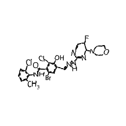 Cc1cccc(Cl)c1NC(=O)c1c(Br)cc(/C=N/NC2=NC(N3CCOCC3)C(F)C=N2)c(O)c1Cl